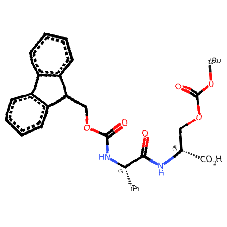 CC(C)[C@H](NC(=O)OCC1c2ccccc2-c2ccccc21)C(=O)N[C@H](COC(=O)OC(C)(C)C)C(=O)O